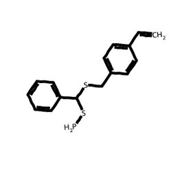 C=Cc1ccc(CSC(SP)c2ccccc2)cc1